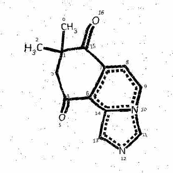 CC1(C)CC(=O)c2c(ccn3cncc23)C1=O